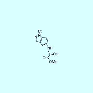 CCn1ncc2cc(NCC(O)C(=O)OC)ccc21